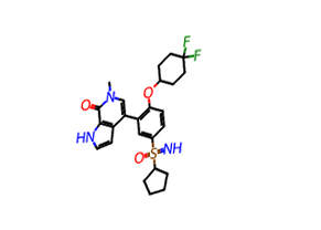 Cn1cc(-c2cc(S(=N)(=O)C3CCCC3)ccc2OC2CCC(F)(F)CC2)c2cc[nH]c2c1=O